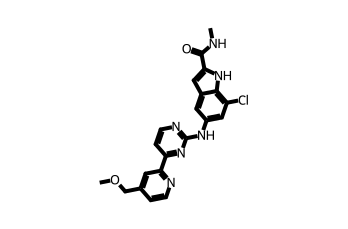 CNC(=O)c1cc2cc(Nc3nccc(-c4cc(COC)ccn4)n3)cc(Cl)c2[nH]1